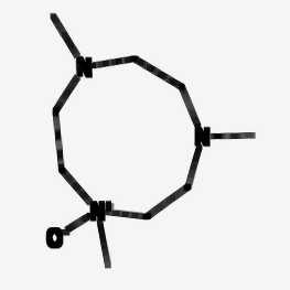 CN1CCN(C)CC[N+](C)([O-])CC1